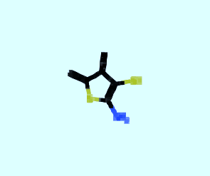 C=c1sc(N)c(S)c1=C